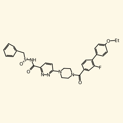 CCOc1ccc(-c2ccc(C(=O)N3CCN(c4ccc(C(=O)N[S+]([O-])Cc5ccccc5)nn4)CC3)cc2F)cc1